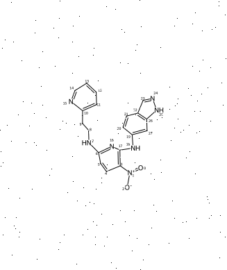 O=[N+]([O-])c1ccc(NCCc2ccccn2)nc1Nc1ccc2cn[nH]c2c1